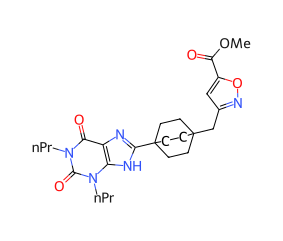 CCCn1c(=O)c2nc(C34CCC(Cc5cc(C(=O)OC)on5)(CC3)CC4)[nH]c2n(CCC)c1=O